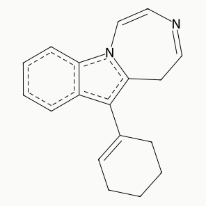 C1=Cn2c(c(C3=CCCCC3)c3ccccc32)CC=N1